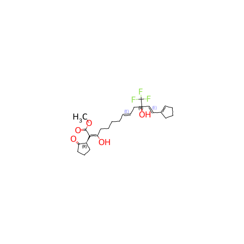 COC(=O)C(=C(O)CCCC/C=C/C[C@@](O)(/C=C/C1=CCCC1)C(F)(F)F)[C@H]1CCCC1=O